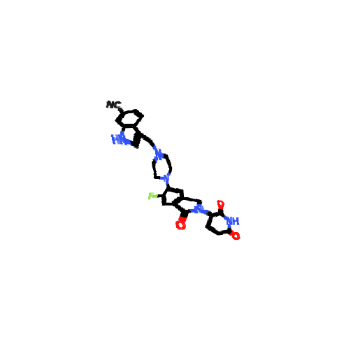 N#Cc1ccc2c(CN3CCN(c4cc5c(cc4F)C(=O)N(C4CCC(=O)NC4=O)C5)CC3)c[nH]c2c1